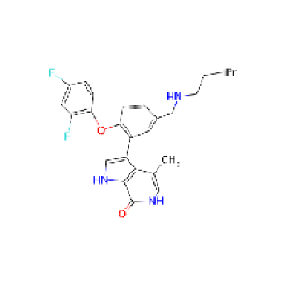 Cc1c[nH]c(=O)c2[nH]cc(-c3cc(CNCCC(C)C)ccc3Oc3ccc(F)cc3F)c12